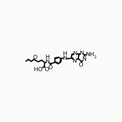 CCCC(=O)CCC(NC(=O)c1ccc(NCC2=NC3C(=O)N=C(N)N=C3N=C2)cc1)C(=O)O